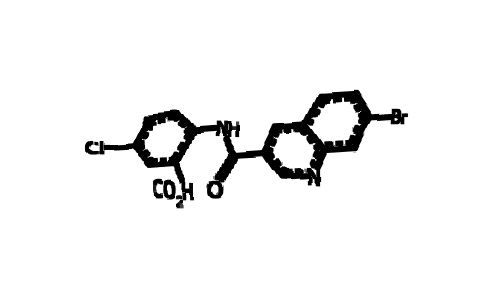 O=C(Nc1ccc(Cl)cc1C(=O)O)c1cnc2cc(Br)ccc2c1